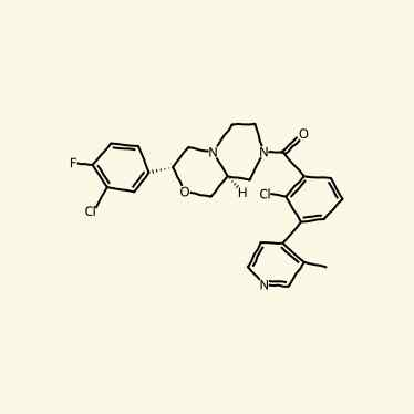 Cc1cnccc1-c1cccc(C(=O)N2CCN3C[C@@H](c4ccc(F)c(Cl)c4)OC[C@@H]3C2)c1Cl